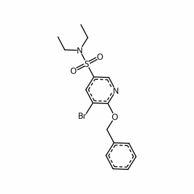 CCN(CC)S(=O)(=O)c1cnc(OCc2ccccc2)c(Br)c1